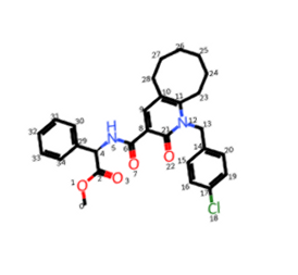 COC(=O)[C@H](NC(=O)c1cc2c(n(Cc3ccc(Cl)cc3)c1=O)CCCCCC2)c1ccccc1